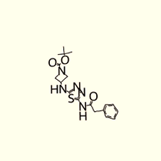 CC(C)(C)OC(=O)N1CC(Nc2nnc(NC(=O)Cc3ccccc3)s2)C1